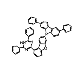 C1=CCC(C2N=C(c3cccc4oc5cc(-n6c7ccc(-c8ccccc8)cc7c7ccc(-c8ccccc8)cc76)ccc5c34)N=C(c3ccccc3)N2)C=C1